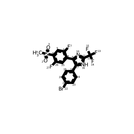 CS(=O)(=O)c1cc(F)c(-c2nc(C(F)(F)F)[nH]c2-c2ccc(Br)cc2)cc1F